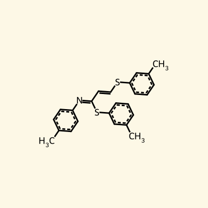 Cc1ccc(N=C(C=CSc2cccc(C)c2)Sc2cccc(C)c2)cc1